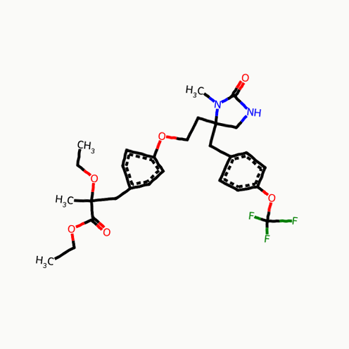 CCOC(=O)C(C)(Cc1ccc(OCCC2(Cc3ccc(OC(F)(F)F)cc3)CNC(=O)N2C)cc1)OCC